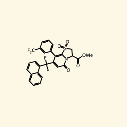 COC(=O)C1CS(=O)(=O)c2c(-c3cccc(C(F)(F)F)c3)c(C(F)(F)c3cccc4ccccc34)cc(=O)n21